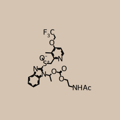 CC(=O)NCCOC(=O)OC(C)n1c([S+]([O-])Cc2nccc(OCC(F)(F)F)c2C)nc2ccccc21